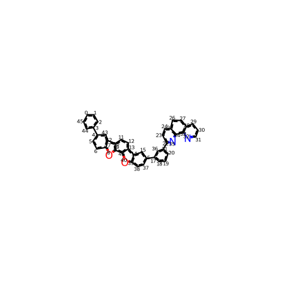 c1ccc(-c2ccc3oc4c(ccc5c6cc(-c7cccc(-c8ccc9ccc%10cccnc%10c9n8)c7)ccc6oc54)c3c2)cc1